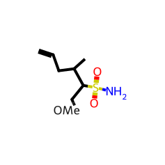 C=CCC(C)C(COC)S(N)(=O)=O